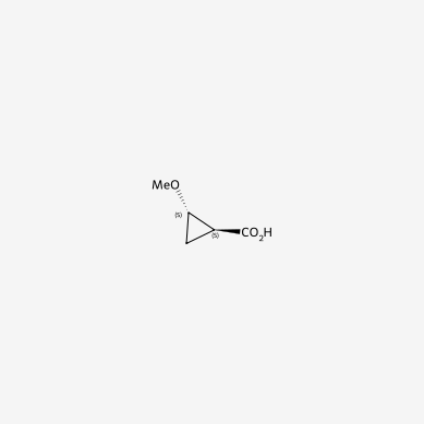 CO[C@H]1C[C@@H]1C(=O)O